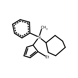 CCC1=CC=C[C]1[Si](C)(c1ccccc1)C1CCCCC1